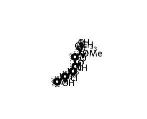 COC(=O)C(c1cccc(-c2cc3cc(-c4ccc(-c5ccccc5)c(O)c4)c(Cl)cc3[nH]c2=O)c1)C1COC(C)(C)O1